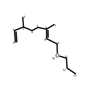 C=CC(C)CCC(C)=CCOCCC